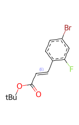 CC(C)(C)OC(=O)/C=C/c1ccc(Br)cc1F